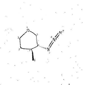 C[C@H]1CCOC[C@@H]1N=[N+]=[N-]